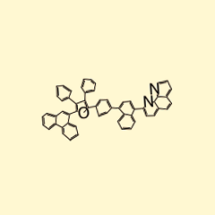 c1ccc(-c2c(-c3ccc(-c4ccc(-c5ccc6ccc7cccnc7c6n5)c5ccccc45)cc3)oc(-c3cc4ccccc4c4ccccc34)c2-c2ccccc2)cc1